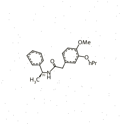 CCCOc1cc(CC(=O)N[C@@H](C)c2ccccc2)ccc1OC